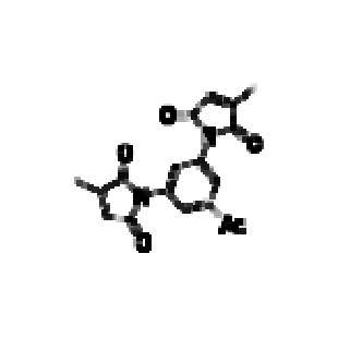 CC(=O)c1cc(N2C(=O)C=C(C)C2=O)cc(N2C(=O)C=C(C)C2=O)c1